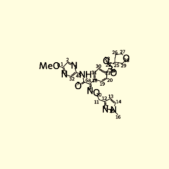 COc1cnc(NC(=O)/C(=N/OCc2ccn(C)n2)c2ccc(S(=O)(=O)[C@H]3CCOC3)cc2)cn1